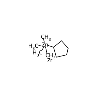 [CH3][Zn]([CH3])([CH3])([CH3])[CH]1CCCC1.[Zr]